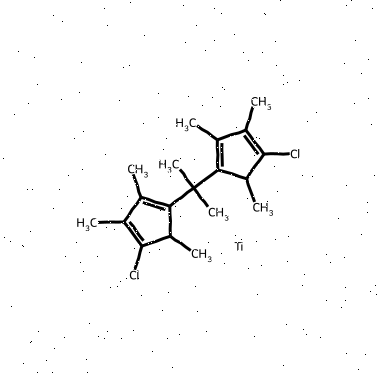 CC1=C(Cl)C(C)C(C(C)(C)C2=C(C)C(C)=C(Cl)C2C)=C1C.[Ti]